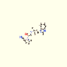 Cc1nc2ccccc2n1CCC(C)(C)NCC(=O)N1CCC[C@H]1C#N